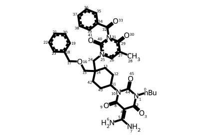 CCCCN1C(=O)C(=C(N)N)C(=O)N(C2CCC(COCc3ccccc3)(Cn3cc(C)c(=O)n(C(=O)c4ccccc4)c3=O)CC2)C1=O